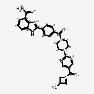 N#CC1CN(C(=O)c2cnc(N3CCN(C(=O)c4ccc(-c5nc6c(C(N)=O)cccc6[nH]5)cc4)CC3)nc2)C1